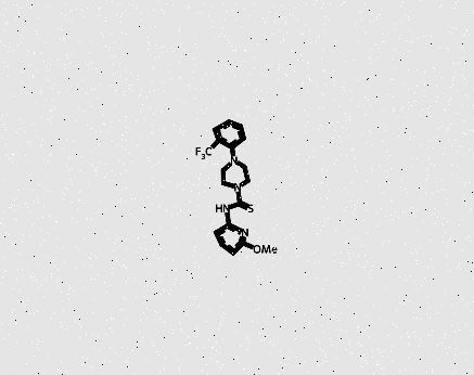 COc1cccc(NC(=S)N2CCN(c3ccccc3C(F)(F)F)CC2)n1